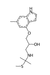 CSC(C)(C)NCC(O)COc1cc(C)cc2[nH]ccc12